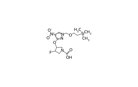 C[Si](C)(C)CCOCn1cc([N+](=O)[O-])c(OC2CN(C(=O)O)CC2F)n1